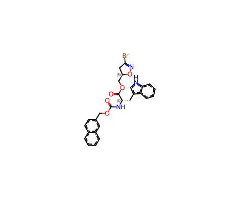 O=C(N[C@@H](Cc1c[nH]c2ccccc12)C(=O)OC[C@H]1CC(Br)=NO1)OCc1ccc2ccccc2c1